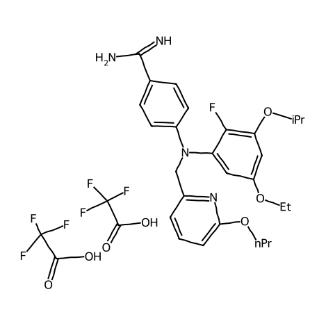 CCCOc1cccc(CN(c2ccc(C(=N)N)cc2)c2cc(OCC)cc(OC(C)C)c2F)n1.O=C(O)C(F)(F)F.O=C(O)C(F)(F)F